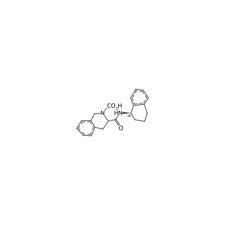 O=C(N[C@@H]1CCCc2ccccc21)C1Cc2ccccc2CN1C(=O)O